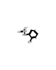 O=[SH](=O)Nc1cc[c]cc1Cl